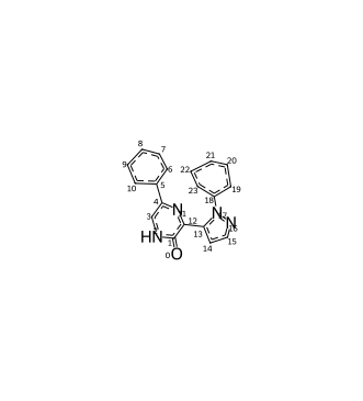 O=c1[nH]cc(-c2ccccc2)nc1-c1ccnn1-c1ccccc1